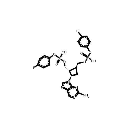 Nc1ncc2ncn([C@@H]3C[C@H](COP(=O)(O)Oc4ccc(F)cc4)[C@H]3COP(=O)(O)Oc3ccc(F)cc3)c2n1